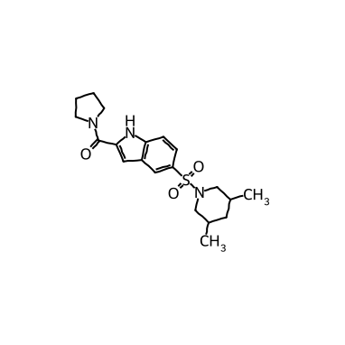 CC1CC(C)CN(S(=O)(=O)c2ccc3[nH]c(C(=O)N4CCCC4)cc3c2)C1